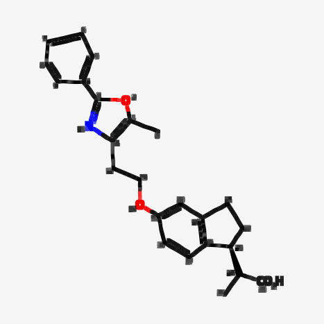 Cc1oc(-c2ccccc2)nc1CCOc1ccc2c(c1)CC[C@H]2C(C)C(=O)O